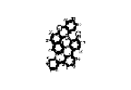 c1cc(-c2ccncc2)cc(-c2ccc3c(c2)B2c4c(cccc4Oc4ccc5ccccc5c42)O3)c1